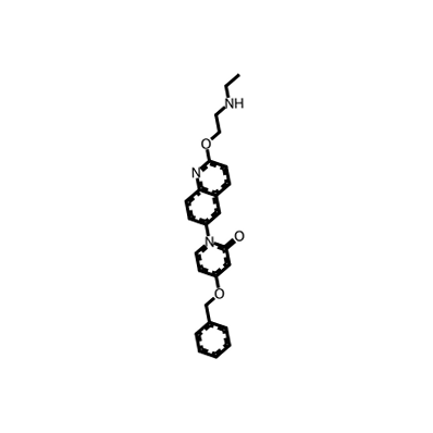 CCNCCOc1ccc2cc(-n3ccc(OCc4ccccc4)cc3=O)ccc2n1